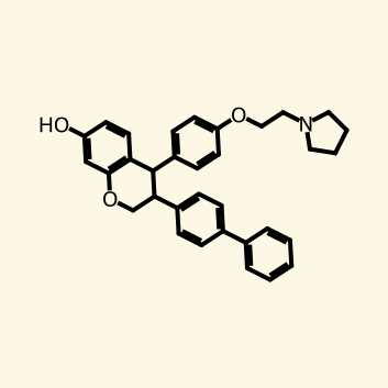 Oc1ccc2c(c1)OCC(c1ccc(-c3ccccc3)cc1)C2c1ccc(OCCN2CCCC2)cc1